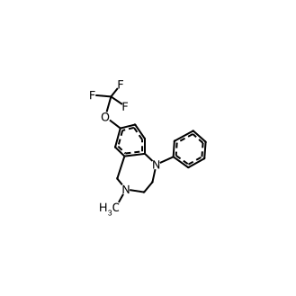 CN1CCN(c2ccccc2)c2ccc(OC(F)(F)F)cc2C1